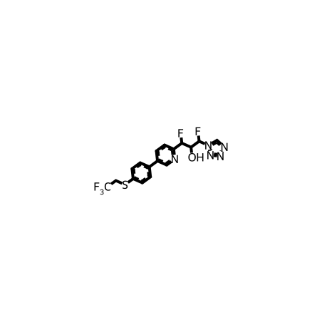 OC(C(F)c1ccc(-c2ccc(SCC(F)(F)F)cc2)cn1)C(F)n1cnnn1